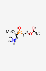 CCC(=O)OCC[P+]([O-])=C(C[N+](C)(C)C)OC